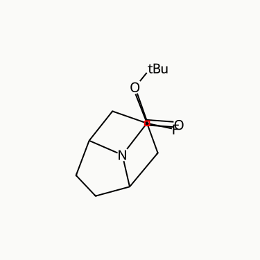 CC1(F)CC2CCC(C1)N2C(=O)OC(C)(C)C